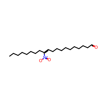 CCCCCCCC/C(=C/CCCCCCCCCC=O)[N+](=O)[O-]